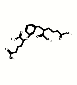 NC(=O)CCCC(Cc1cccc(CC(CCCC(N)=O)C(N)=O)c1)C(N)=O